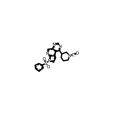 O=C=[N+]1CCCC(c2ncnc3cnc4c(ccn4S(=O)(=O)c4ccccc4)c23)C1